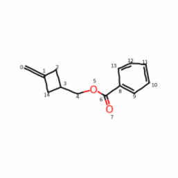 C=C1CC(COC(=O)c2ccccc2)C1